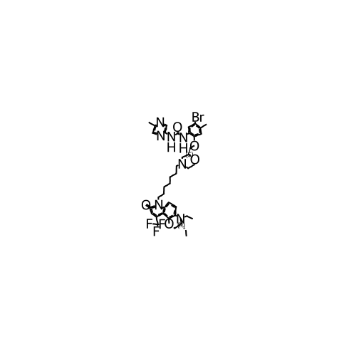 CC[C@@H]1COc2c(ccc3c2c(C(F)(F)F)cc(=O)n3CCCCCCCN2CCO[C@H](COc3cc(C)c(Br)cc3NC(=O)Nc3cnc(C)cn3)C2)N1CC